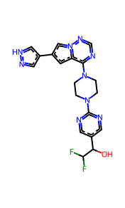 OC(c1cnc(N2CCN(c3ncnn4cc(-c5cn[nH]c5)cc34)CC2)nc1)C(F)F